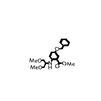 COCC(COC)Nc1ccc(OCc2ccccc2)cc1C(=O)OC